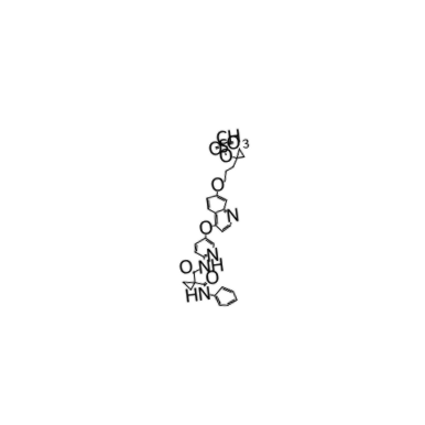 CS(=O)(=O)OC1(CCCOc2ccc3c(Oc4ccc(NC(=O)C5(C(=O)Nc6ccccc6)CC5)nc4)ccnc3c2)CC1